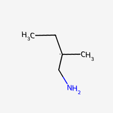 CC[C](C)CN